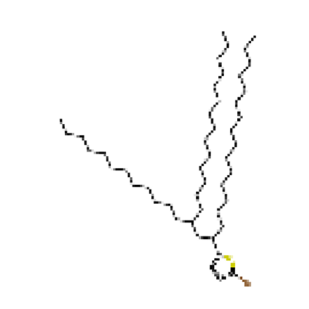 CCCCCCCCCCCCCCCC(CC(CCCCCCCCCCCC)CCCCCCCCCCCCCC)c1ccc(Br)s1